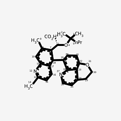 CCCC(C)(C)O[C@@H](C(=O)O)c1c(C)cc2nc(C)ccc2c1-c1ccc2c3c(ccnc13)CCO2